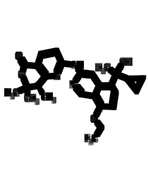 C[C@@H]1c2nc(Nc3cc4c(C(C)(O)C5CC5)ccc(OCC(F)(F)F)c4cn3)ccc2C(=O)OC1(C)C